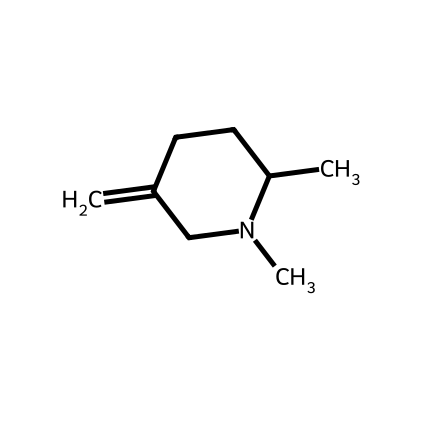 C=C1CCC(C)N(C)C1